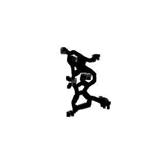 CCC1=C2CCC3=C(CC)[CH](c4cc(C(C)C)cc(C(C)C)c43)[Ti]([CH3])([CH3])[CH]1c1cc(C(C)C)cc(C(C)C)c12